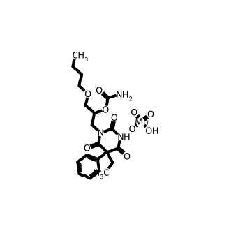 CCCCOCC(CN1C(=O)NC(=O)C(CC)(c2ccccc2)C1=O)OC(N)=O.[O]=[Mn](=[O])(=[O])[OH]